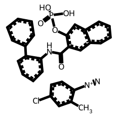 Cc1cc(Cl)ccc1[N+]#N.O=C(Nc1ccccc1-c1ccccc1)c1cc2ccccc2cc1OP(=O)(O)O